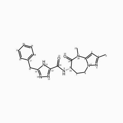 Cc1cc2n(n1)CC[C@H](NC(=O)c1nnc(Cc3ccccc3)[nH]1)C(=O)N2C